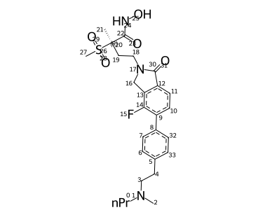 CCCN(C)CCc1ccc(-c2ccc3c(c2F)CN(CC[C@](C)(C(=O)NO)S(C)(=O)=O)C3=O)cc1